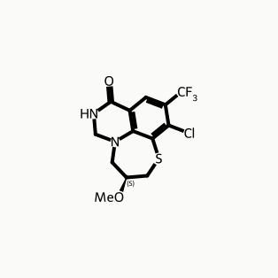 CO[C@@H]1CSc2c(Cl)c(C(F)(F)F)cc3c2N(CNC3=O)C1